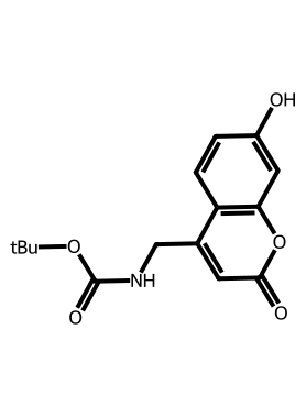 CC(C)(C)OC(=O)NCc1cc(=O)oc2cc(O)ccc12